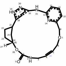 O=C1NC/C=C\COCc2cccc(n2)Nc2cc([nH]n2)C2CC[C@H](C2)O1